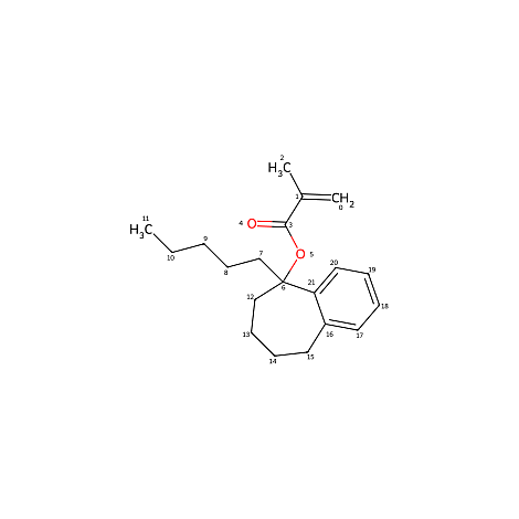 C=C(C)C(=O)OC1(CCCCC)CCCCc2ccccc21